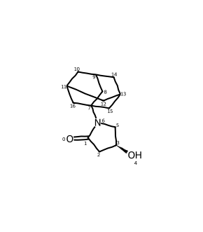 O=C1C[C@H](O)CN1C12CC3CC(CC(C3)C1)C2